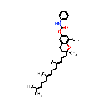 CC(C)=CCC/C(C)=C/CC/C(C)=C/CC[C@]1(C)CCc2cc(OC(=O)Nc3ccccc3)cc(C)c2O1